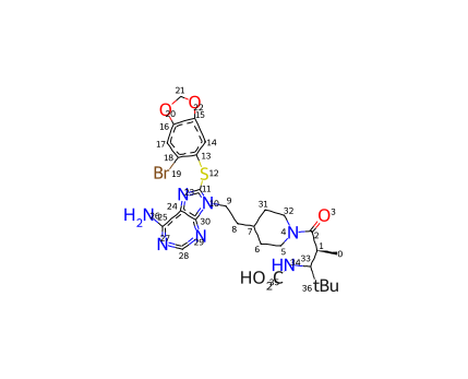 C[C@H](C(=O)N1CCC(CCn2c(Sc3cc4c(cc3Br)OCO4)nc3c(N)ncnc32)CC1)C(NC(=O)O)C(C)(C)C